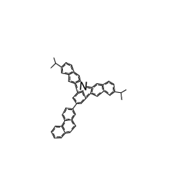 CC(C)c1ccc2cc3c(cc2c1)c1cc(-c2ccc4c(ccc5ccccc54)c2)cc2c4cc5cc(C(C)C)ccc5cc4n3c12